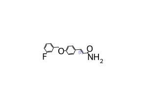 NC(=O)/C=C/c1ccc(OCc2cccc(F)c2)cc1